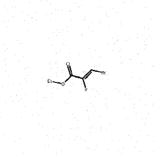 CCOC(=O)/C(F)=C/Br